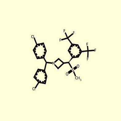 CS(=O)(=O)[C@H](c1cc(C(F)(F)F)cc(C(F)(F)F)c1)C1CN(C(c2ccc(Cl)cc2)c2ccc(Cl)cc2)C1